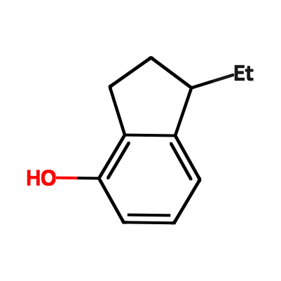 CCC1CCc2c(O)cccc21